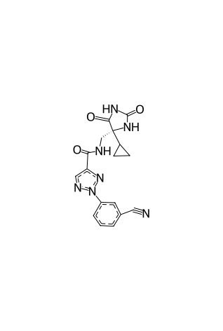 N#Cc1cccc(-n2ncc(C(=O)NC[C@@]3(C4CC4)NC(=O)NC3=O)n2)c1